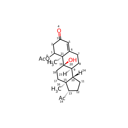 CC(=O)OC1CC(=O)C=C2CC[C@H]3[C@@H]4CC[C@H](C(C)=O)[C@@]4(C)CC[C@]3(O)[C@]21C